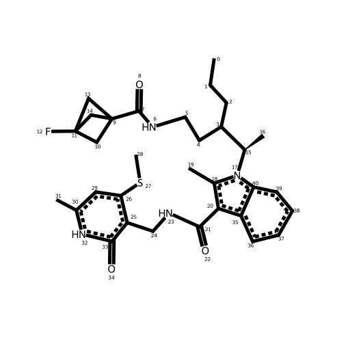 CCCC(CCNC(=O)C12CC(F)(C1)C2)[C@@H](C)n1c(C)c(C(=O)NCc2c(SC)cc(C)[nH]c2=O)c2ccccc21